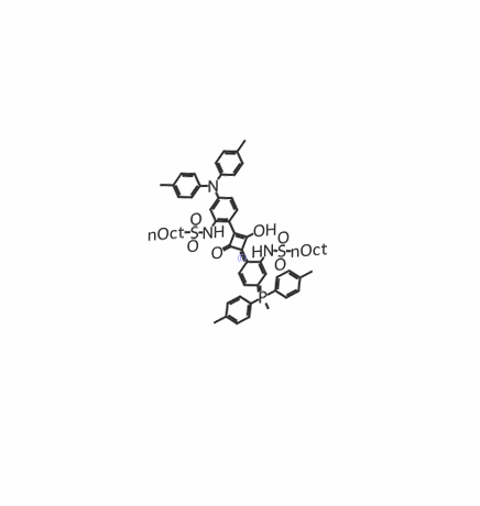 CCCCCCCCS(=O)(=O)NC1=CC(=P(C)(c2ccc(C)cc2)c2ccc(C)cc2)C=C/C1=C1\C(=O)C(c2ccc(N(c3ccc(C)cc3)c3ccc(C)cc3)cc2NS(=O)(=O)CCCCCCCC)=C1O